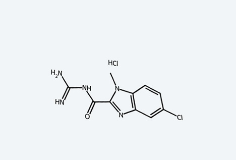 Cl.Cn1c(C(=O)NC(=N)N)nc2cc(Cl)ccc21